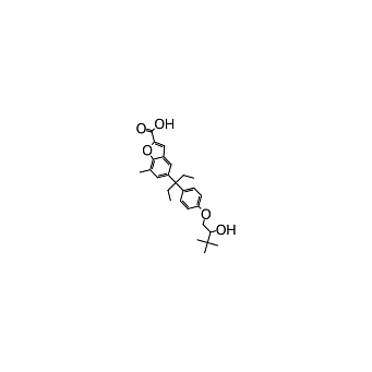 CCC(CC)(c1ccc(OCC(O)C(C)(C)C)cc1)c1cc(C)c2oc(C(=O)O)cc2c1